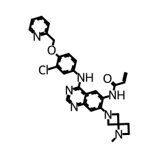 C=CC(=O)Nc1cc2c(Nc3ccc(OCc4ccccn4)c(Cl)c3)ncnc2cc1N1CC2(CCN2C)C1